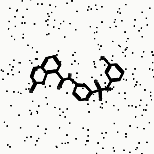 O=C(Nc1ccnc(S(=O)(=O)Nc2cccc(Cl)c2)c1)c1cccc2ccc(=O)oc12